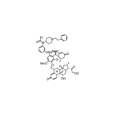 CCC(=O)N(c1ccccc1)C1CCN(CCc2ccccc2)CC1.COC1=CC(=O)C[C@@H](C)[C@]12Oc1c(Cl)c(OC)cc(OC)c1C2=O.C[C@@H]1C[C@H]2[C@@H]3C[C@H](F)C4=CC(=O)C=C[C@]4(C)[C@@]3(F)[C@@H](O)C[C@]2(C)[C@H]1C(=O)CO